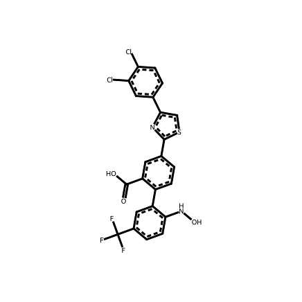 O=C(O)c1cc(-c2nc(-c3ccc(Cl)c(Cl)c3)cs2)ccc1-c1cc(C(F)(F)F)ccc1NO